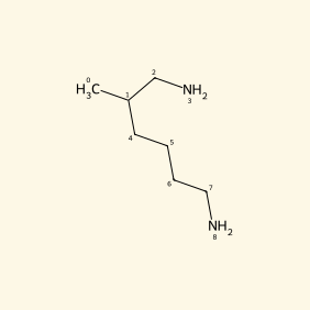 CC(CN)CCCCN